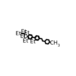 CCc1cc(-c2ccc(CCC3CCC(C)CC3)cc2)c(CC)c(CC)c1OCC(CC)(CC)CC